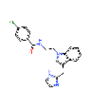 O=C(NCCn1cc(Cc2ncc[nH]2)c2ccccc21)c1ccc(Cl)cc1